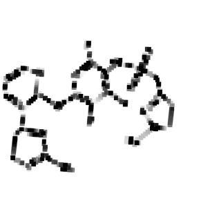 Cn1ccc(CS(=O)(=O)Nc2c(F)cc(Oc3ncccc3-c3ccnc(N)n3)c(F)c2F)n1